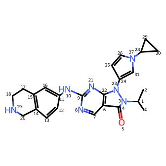 CC(C)n1c(=O)c2cnc(Nc3ccc4c(c3)CCNC4)nc2n1-c1ccn(C2CC2)c1